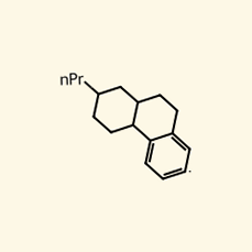 CCCC1CCC2c3cc[c]cc3CCC2C1